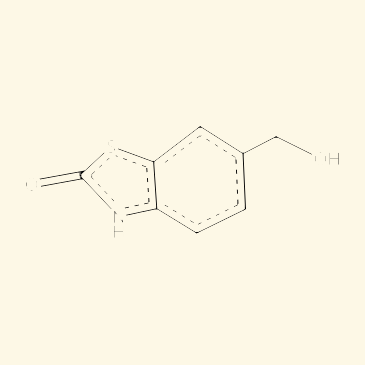 O=c1[nH]c2ccc(CO)cc2s1